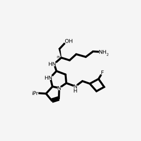 CC(C)C1C#CN2C(NCC3CCC3F)CC(N[C@@H](CO)CCCCN)NC12